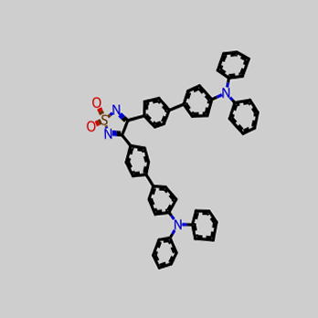 O=S1(=O)N=C(c2ccc(-c3ccc(N(c4ccccc4)c4ccccc4)cc3)cc2)C(c2ccc(-c3ccc(N(c4ccccc4)c4ccccc4)cc3)cc2)=N1